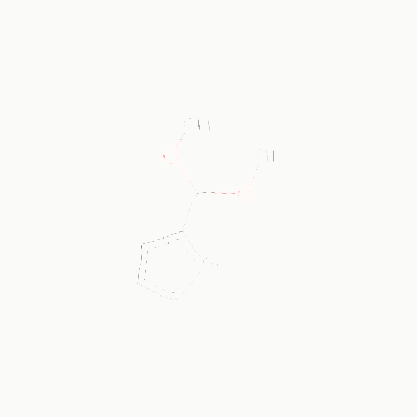 COC(OC)c1ccc[se]1